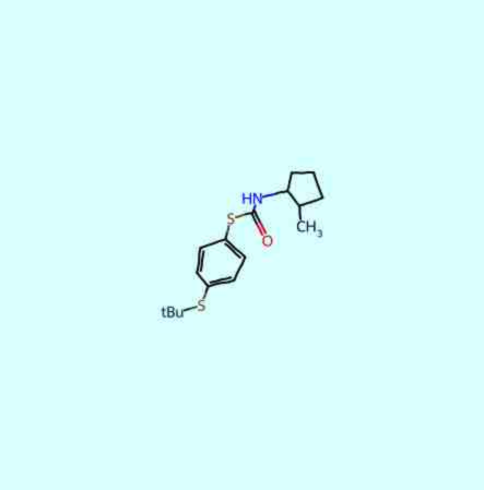 CC1CCCC1NC(=O)Sc1ccc(SC(C)(C)C)cc1